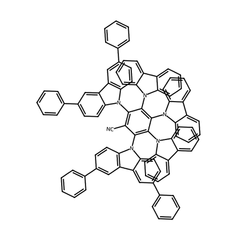 N#Cc1c(-n2c3ccc(-c4ccccc4)cc3c3cc(-c4ccccc4)ccc32)c(-n2c3ccccc3c3ccccc32)c(-n2c3ccccc3c3ccccc32)c(-n2c3ccccc3c3ccccc32)c1-n1c2ccc(-c3ccccc3)cc2c2cc(-c3ccccc3)ccc21